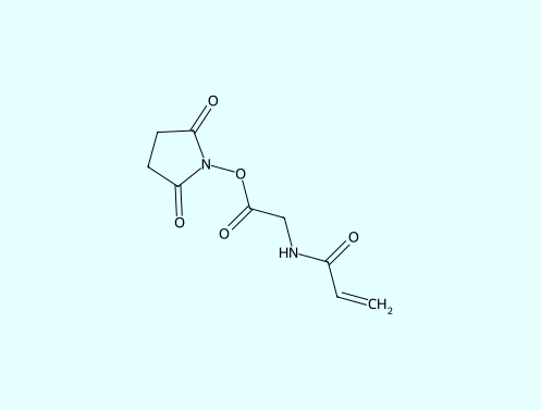 C=CC(=O)NCC(=O)ON1C(=O)CCC1=O